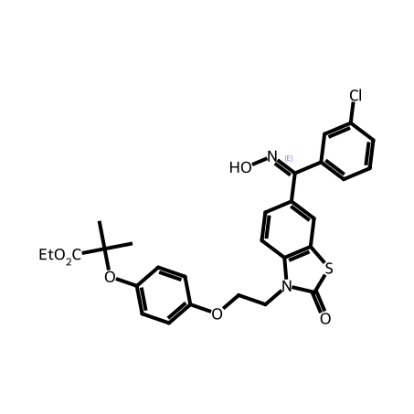 CCOC(=O)C(C)(C)Oc1ccc(OCCn2c(=O)sc3cc(/C(=N\O)c4cccc(Cl)c4)ccc32)cc1